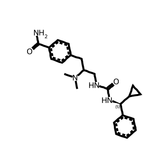 CN(C)C(CNC(=O)N[C@H](c1ccccc1)C1CC1)Cc1ccc(C(N)=O)cc1